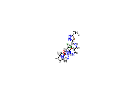 Cc1nnc(-c2cc3cc(NC(=O)N4[C@@H]5CC[C@H]4CC(NCC(F)F)C5)ncc3cn2)s1